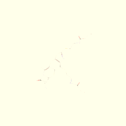 CC(C)(C)OC(=O)NCCSCc1nc(SCCNC(=O)OC(C)(C)C)sc1SC1=C(C(=O)O)N2C(=O)[C@@H](N)[C@@H]2SC1